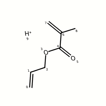 C=CCOC(=O)C(=C)C.[H+]